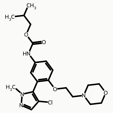 CC(C)COC(=O)Nc1ccc(OCCN2CCOCC2)c(-c2c(Cl)cnn2C)c1